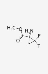 COC(=O)C1(N)CC1(F)F